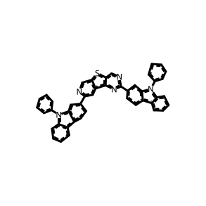 c1ccc(-n2c3ccccc3c3ccc(-c4cc5c(cn4)sc4cnc(-c6ccc7c8ccccc8n(-c8ccccc8)c7c6)nc45)cc32)cc1